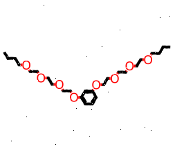 CCCCOCCOCCOCCOc1cccc(OCCOCCOCCOCCCC)c1